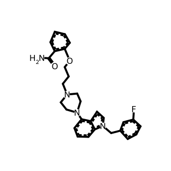 NC(=O)c1ccccc1OCCCN1CCN(c2cccc3c2ccn3Cc2cccc(F)c2)CC1